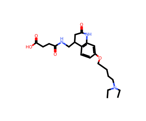 CCN(CC)CCCCOc1ccc2c(c1)NC(=O)CC2CNC(=O)CCC(=O)O